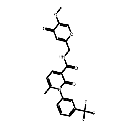 COc1coc(CNC(=O)c2ccc(C)n(-c3cccc(C(F)(F)F)c3)c2=O)cc1=O